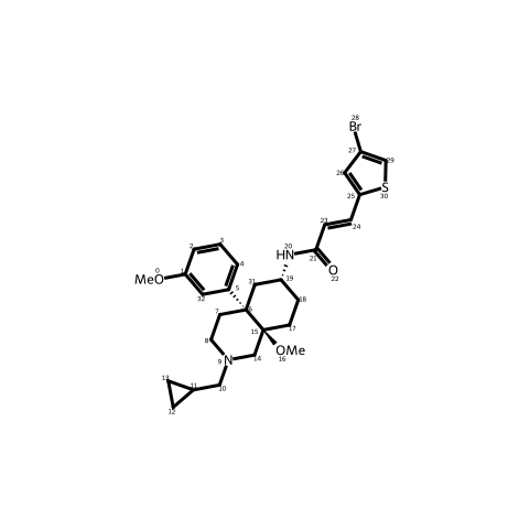 COc1cccc([C@@]23CCN(CC4CC4)C[C@@]2(OC)CC[C@@H](NC(=O)C=Cc2cc(Br)cs2)C3)c1